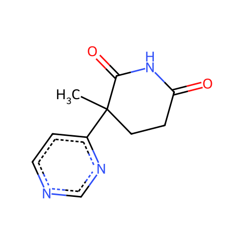 CC1(c2ccncn2)CCC(=O)NC1=O